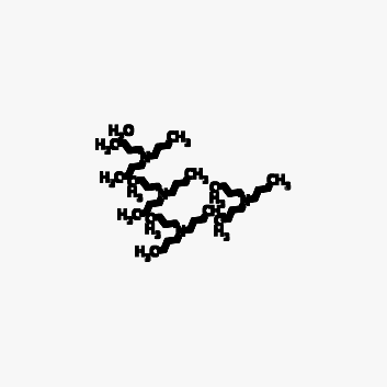 CCCCN(CCCC)CCCC.CCCCN(CCCC)CCCC.CCCCN(CCCC)CCCC.CCCCN(CCCC)CCCC.O